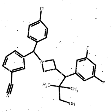 CC(C)(CO)C(c1cc(F)cc(F)c1)C1CN(C(c2ccc(Cl)cc2)c2cccc(C#N)c2)C1